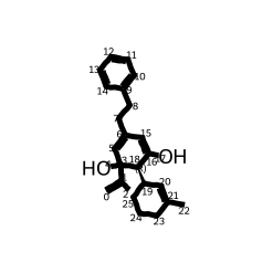 C=C(C)C1(O)C=C(CCc2ccccc2)C=C(O)[C@H]1C1C=C(C)CCC1